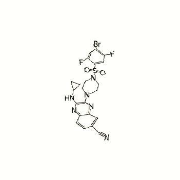 N#Cc1ccc2nc(NC3CC3)c(N3CCN(S(=O)(=O)c4cc(F)c(Br)cc4F)CC3)nc2c1